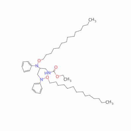 CCCCCCCCCCCCCCON(CC(CNC(=O)OCC)N(OCCCCCCCCCCCCCC)c1ccccc1)c1ccccc1